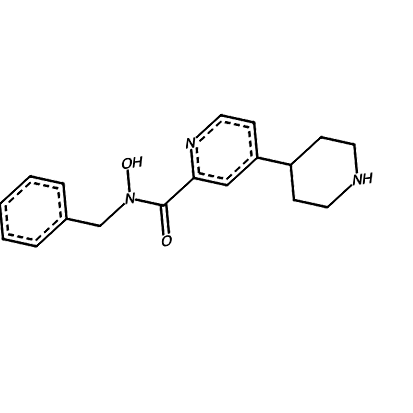 O=C(c1cc(C2CCNCC2)ccn1)N(O)Cc1ccccc1